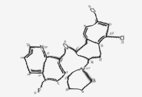 Fc1ccc(OC2c3cc(Cl)cc(Cl)c3CC2N2CCCC2)c2ncccc12